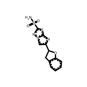 NS(=O)(=O)c1nn2cc(C3Cc4ccccc4O3)nc2s1